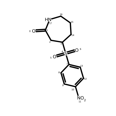 O=C1CC(S(=O)(=O)c2ccc([N+](=O)[O-])cc2)CCCN1